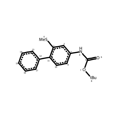 CSc1cc(NC(=O)OC(C)(C)C)ccc1-c1ccccc1